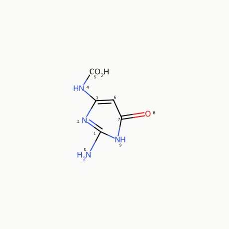 Nc1nc(NC(=O)O)cc(=O)[nH]1